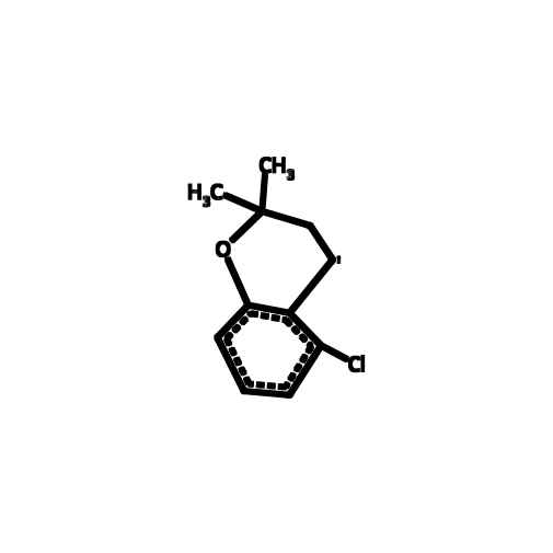 CC1(C)C[C]c2c(Cl)cccc2O1